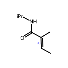 C/C=C(\C)C(=O)NC(C)C